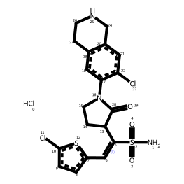 Cl.NS(=O)(=O)/C(=C/c1ccc(Cl)s1)C1CCN(c2cc3c(cc2Cl)CNCC3)C1=O